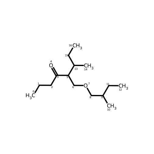 CCCC(=O)C(COCC(C)CC)C(C)CC